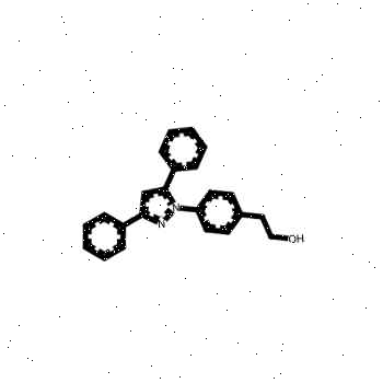 OCCc1ccc(-n2nc(-c3ccccc3)cc2-c2ccccc2)cc1